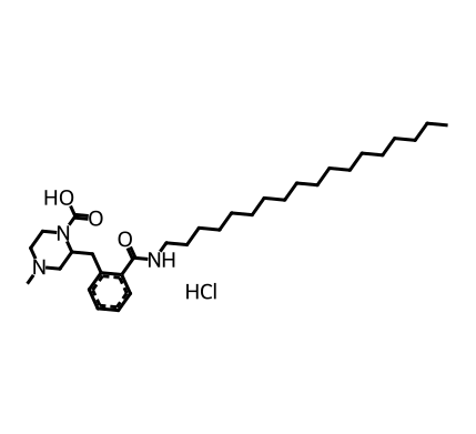 CCCCCCCCCCCCCCCCCCNC(=O)c1ccccc1CC1CN(C)CCN1C(=O)O.Cl